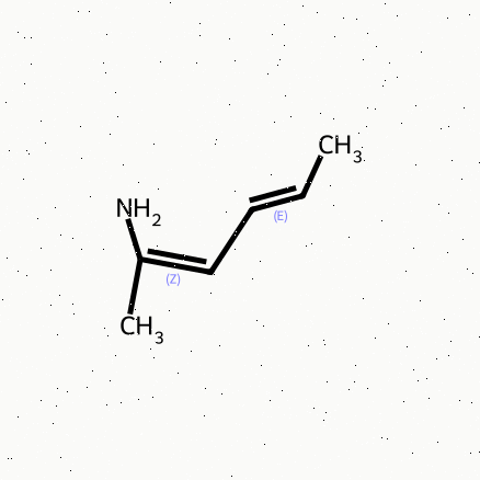 C/C=C/C=C(/C)N